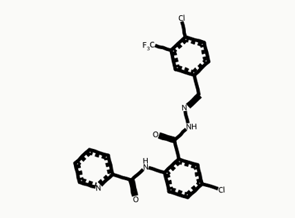 O=C(Nc1ccc(Cl)cc1C(=O)N/N=C/c1ccc(Cl)c(C(F)(F)F)c1)c1ccccn1